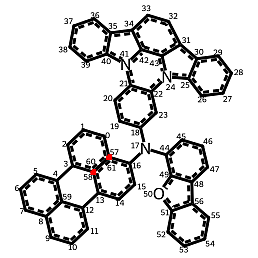 c1ccc(-c2cccc3cccc(-c4ccc(N(c5ccc6c(c5)n5c7ccccc7c7ccc8c9ccccc9n6c8c75)c5cccc6c5oc5ccccc56)cc4)c23)cc1